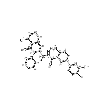 Cc1ccc(-c2cnc(N)c(C(=O)N[C@@H](C)c3cc4cccc(Cl)c4c(=O)n3-c3ccccc3)n2)cc1F